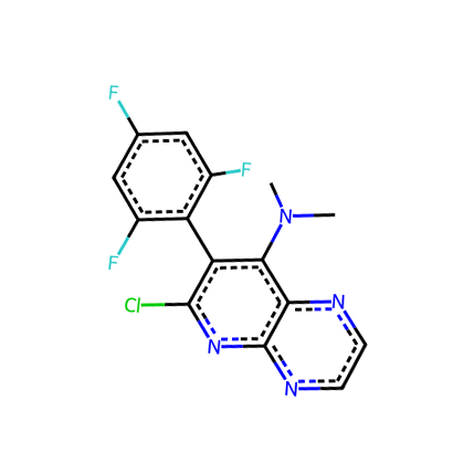 CN(C)c1c(-c2c(F)cc(F)cc2F)c(Cl)nc2nccnc12